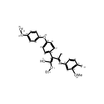 CCOC(O)=C(C(C)=Nc1ccc(F)c(OC)c1)c1ccc(Oc2ccc(OC(F)(F)F)cc2)cc1